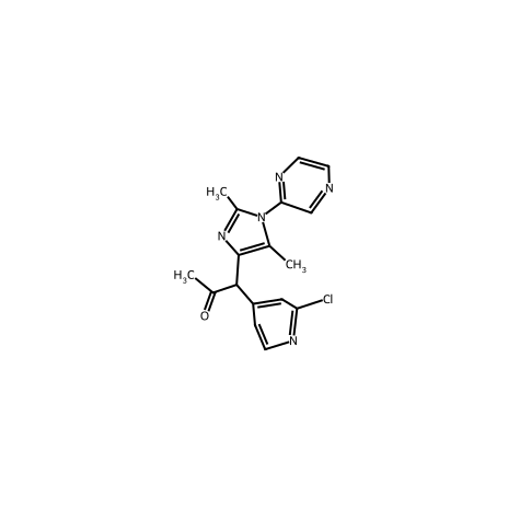 CC(=O)C(c1ccnc(Cl)c1)c1nc(C)n(-c2cnccn2)c1C